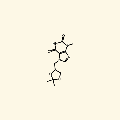 Cn1c(=O)[nH]c(=O)c2c1ncn2CC1COC(C)(C)O1